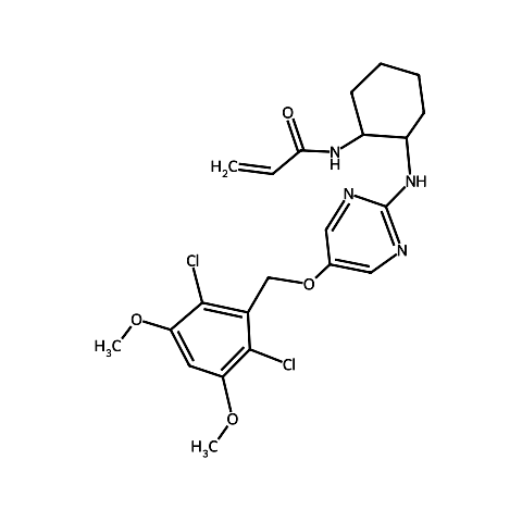 C=CC(=O)NC1CCCCC1Nc1ncc(OCc2c(Cl)c(OC)cc(OC)c2Cl)cn1